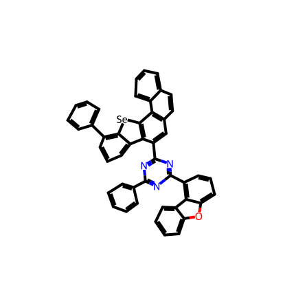 c1ccc(-c2nc(-c3cccc4oc5ccccc5c34)nc(-c3cc4ccc5ccccc5c4c4[se]c5c(-c6ccccc6)cccc5c34)n2)cc1